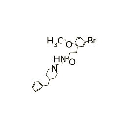 CCOc1ccc(Br)cc1/C=C/C(=O)NCCN1CCC(Cc2ccccc2)CC1